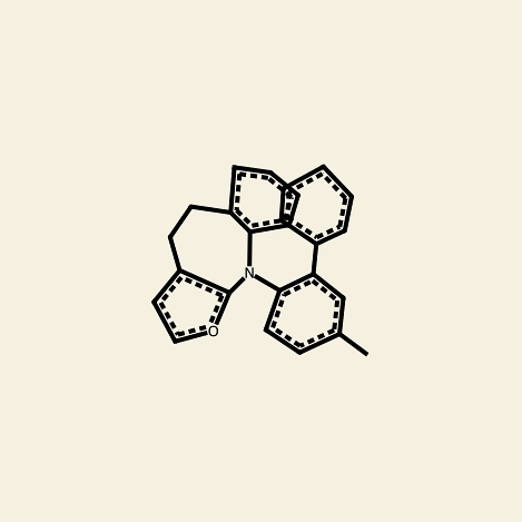 Cc1ccc(N2c3ccccc3CCc3ccoc32)c(-c2ccccc2)c1